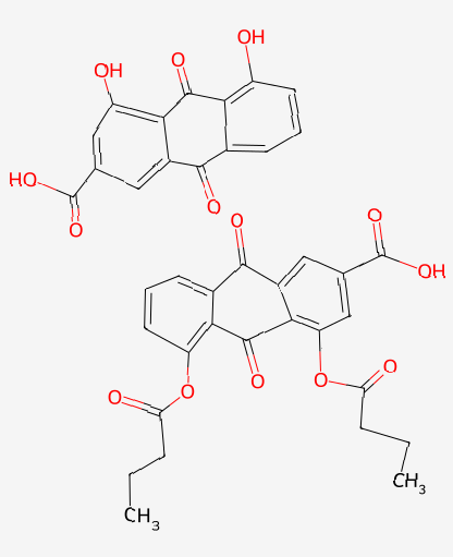 CCCC(=O)Oc1cccc2c1C(=O)c1c(OC(=O)CCC)cc(C(=O)O)cc1C2=O.O=C(O)c1cc(O)c2c(c1)C(=O)c1cccc(O)c1C2=O